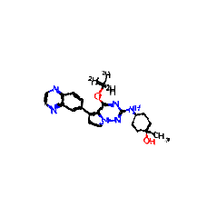 [2H]C([2H])([2H])Oc1nc(NC2CCC(C)(O)CC2)nn2ccc(-c3ccc4nccnc4c3)c12